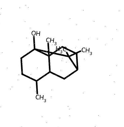 CC1CCC2(O)C(C)(C)C3CCC2(C)C1C3